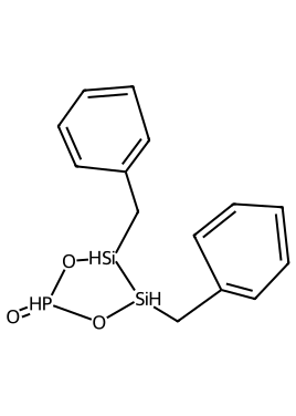 O=[PH]1O[SiH](Cc2ccccc2)[SiH](Cc2ccccc2)O1